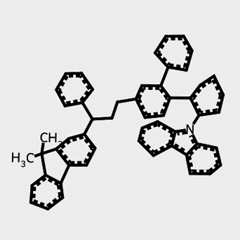 CC1(C)c2ccccc2-c2ccc(C(CCc3ccc(-c4ccccc4-n4c5ccccc5c5ccccc54)c(-c4ccccc4)c3)c3ccccc3)cc21